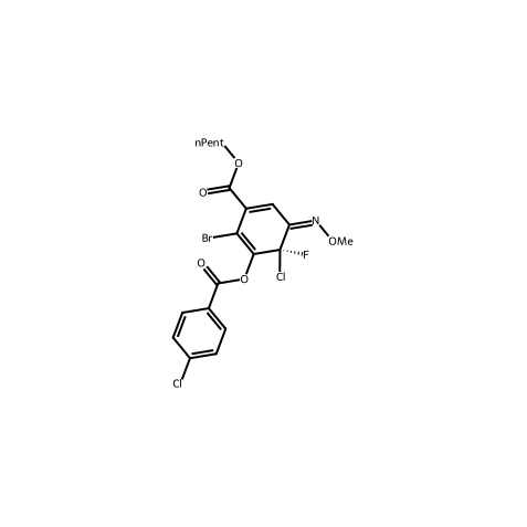 CCCCCOC(=O)C1=CC(=NOC)[C@@](F)(Cl)C(OC(=O)c2ccc(Cl)cc2)=C1Br